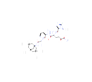 CCNC(=O)C(=O)CCC(NC(=O)c1cnc(Cl)n1C)C(=O)Nc1cccn(CC(=O)NC23CC(C)(C)CC(C)(CC(C)(C)C2)C3)c1=O